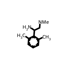 CNCC(N)c1c(C)cccc1C